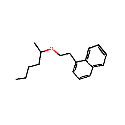 CCCCC(C)OCCc1cccc2ccccc12